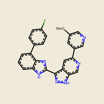 COc1cncc(-c2cc3c(-c4nc5c(-c6ccc(F)cc6)cccc5[nH]4)n[nH]c3cn2)c1